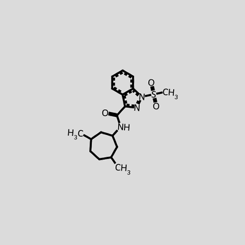 CC1CCC(C)CC(NC(=O)c2nn(S(C)(=O)=O)c3ccccc23)C1